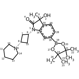 CC1(O)C(=O)N([C@H]2C[C@@H](N3CCCCC3)C2)c2cc(B3OC(C)(C)C(C)(C)O3)ccc21